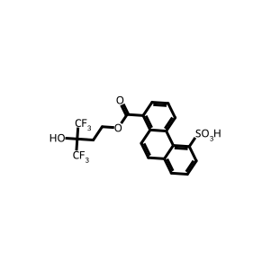 O=C(OCCC(O)(C(F)(F)F)C(F)(F)F)c1cccc2c1ccc1cccc(S(=O)(=O)O)c12